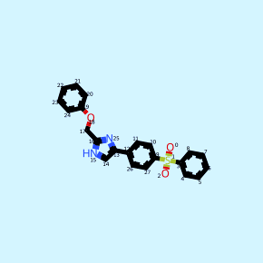 O=S(=O)(c1ccccc1)c1ccc(-c2c[nH]c(COc3ccccc3)n2)cc1